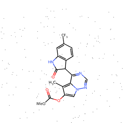 COC(=O)Oc1cn2ncnc(C3C(=O)Nc4cc(C(F)(F)F)ccc43)c2c1C